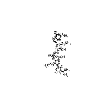 C=CN(C(=O)N=C(N)N)[C@@H]1O[C@H](CO)[C@H](OP(=O)(O)OC[C@H]2O[C@@H](n3cnc4c(=O)[nH]c(N)nc43)C(OCC)[C@H]2O)C1OCC